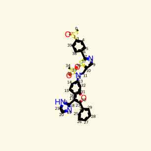 C[S+]([O-])c1ccc(-c2ncc(CN(c3ccc4c(-c5ncc[nH]5)c(-c5ccccc5)oc4c3)S(C)(=O)=O)s2)cc1